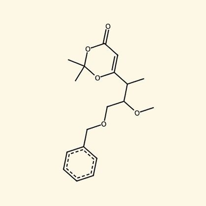 COC(COCc1ccccc1)C(C)C1=CC(=O)OC(C)(C)O1